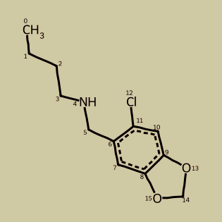 CCCCNCc1cc2c(cc1Cl)OCO2